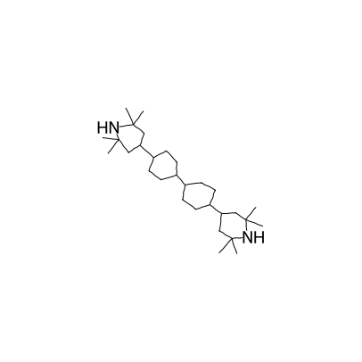 CC1(C)CC(C2CCC(C3CCC(C4CC(C)(C)NC(C)(C)C4)CC3)CC2)CC(C)(C)N1